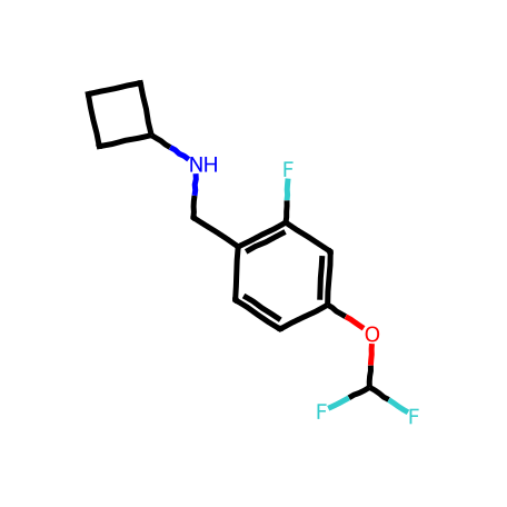 Fc1cc(OC(F)F)ccc1CNC1CCC1